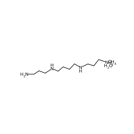 C.NCCCNCCCCNCCCN.O